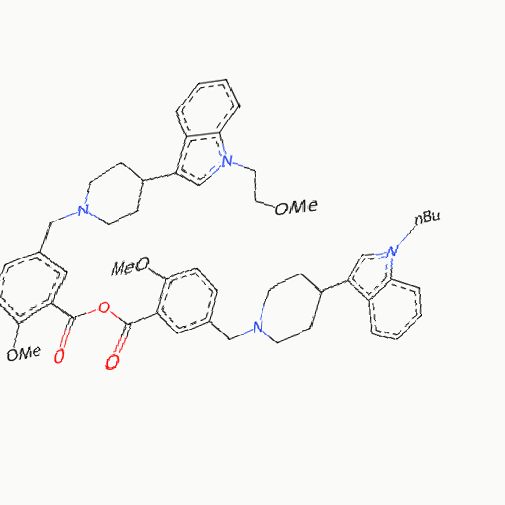 CCCCn1cc(C2CCN(Cc3ccc(OC)c(C(=O)OC(=O)c4cc(CN5CCC(c6cn(CCOC)c7ccccc67)CC5)ccc4OC)c3)CC2)c2ccccc21